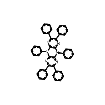 c1ccc(-c2nc3c(nc2-c2ccccc2)N(c2ccccc2)c2nc(-c4ccccc4)c(-c4ccccc4)nc2N3c2ccccc2)cc1